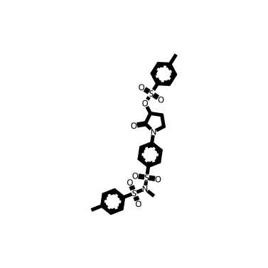 Cc1ccc(S(=O)(=O)OC2CCN(c3ccc(S(=O)(=O)N(C)S(=O)(=O)c4ccc(C)cc4)cc3)C2=O)cc1